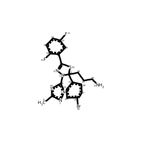 Cc1nnc(N2N=C(c3cc(F)ccc3F)SC2(CCCN)c2ccc(Br)cc2)s1